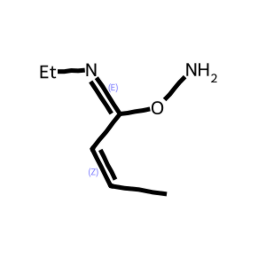 C/C=C\C(=N/CC)ON